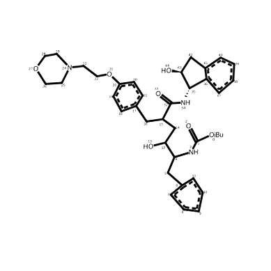 CC(C)COC(=O)NC(Cc1ccccc1)C(O)CC(Cc1ccc(OCCN2CCOCC2)cc1)C(=O)N[C@H]1c2ccccc2C[C@@H]1O